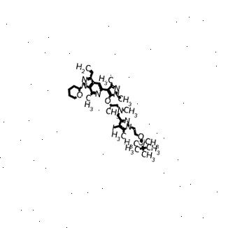 C=Cc1nn(C2CCCCO2)c2c(C)nc(-c3c(C)nn(C)c3O[C@@H](C)CN(C)Cc3nn(CCO[Si](C)(C)C(C)(C)C)c(C)c3I)cc12